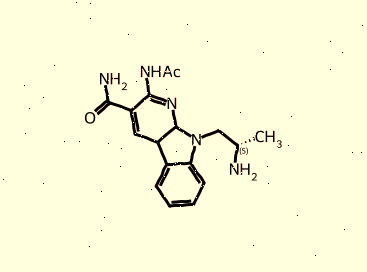 CC(=O)NC1=NC2C(C=C1C(N)=O)c1ccccc1N2C[C@H](C)N